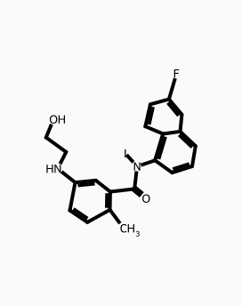 Cc1ccc(NCCO)cc1C(=O)N(I)c1cccc2cc(F)ccc12